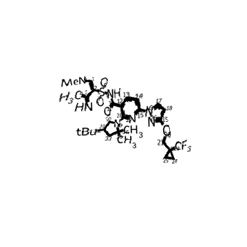 CN/C=C(\C(C)=N)S(=O)(=O)NC(=O)c1ccc(-n2ccc(OCC3(C(F)(F)F)CC3)n2)nc1N1CC(C(C)(C)C)CC1(C)C